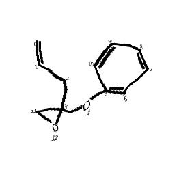 C=CCC1(Oc2ccccc2)CO1